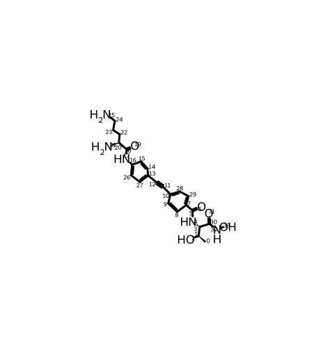 C[C@@H](O)[C@H](NC(=O)c1ccc(C#Cc2ccc(NC(=O)[C@@H](N)CCCN)cc2)cc1)C(=O)NO